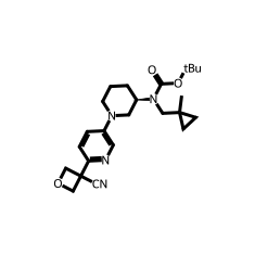 CC1(CN(C(=O)OC(C)(C)C)[C@@H]2CCCN(c3ccc(C4(C#N)COC4)nc3)C2)CC1